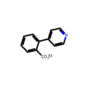 CCOC(=O)c1ccccc1-c1ccncc1